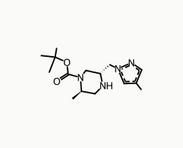 Cc1cnn(C[C@H]2CN(C(=O)OC(C)(C)C)[C@H](C)CN2)c1